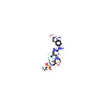 CN(CC1CN(c2nc(Nc3ccc4c(c3)CC(=O)N4)ncc2C(F)(F)F)CCO1)S(C)(=O)=O